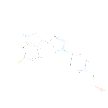 OCCN1CCC(n2cc(-c3c[nH]c4cc(F)ccc34)cn2)CC1